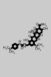 CN(C)c1ccc(NC(=O)NCc2cc(N(C)C)c3c(c2O)C(=O)C2=C(O)[C@]4(O)C(=O)C(C(N)=O)=C(O)C[C@@H]4C[C@@H]2C3)cc1